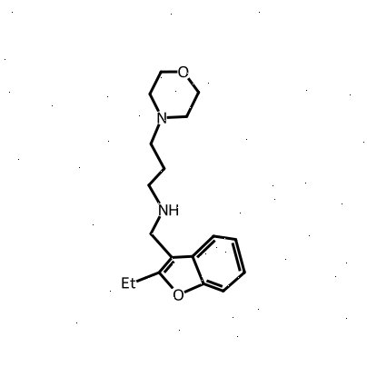 CCc1oc2ccccc2c1CNCCCN1CCOCC1